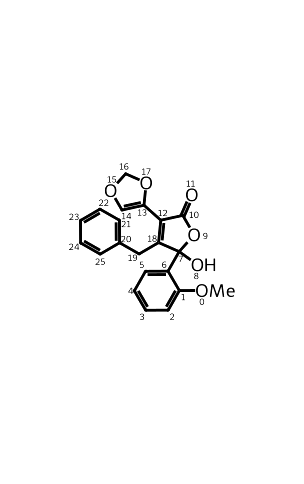 COc1ccccc1C1(O)OC(=O)C(C2=COCO2)=C1Cc1ccccc1